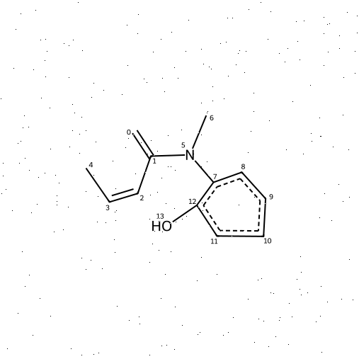 C=C(/C=C\C)N(C)c1ccccc1O